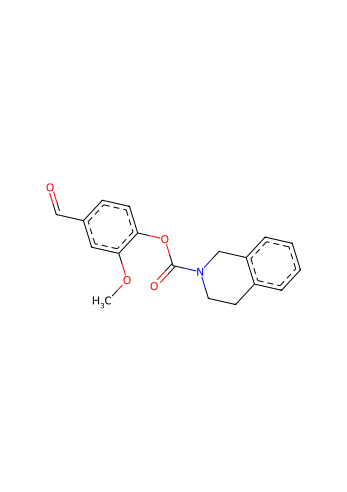 COc1cc(C=O)ccc1OC(=O)N1CCc2ccccc2C1